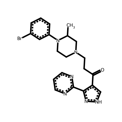 CC1CN(CCC(=O)c2c[nH]nc2-c2ncccn2)CCN1c1cccc(Br)c1